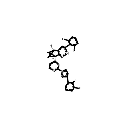 CC1(C)[C@H]2CC[C@@]1(c1ccnc(-n3ccc(-c4cccc(F)c4F)n3)n1)c1nnc(-c3c(F)cccc3F)cc12